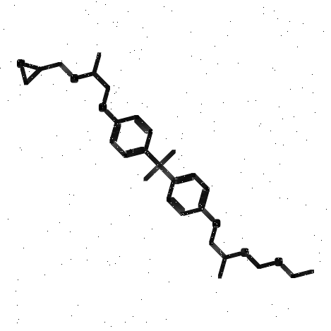 CCOCOC(C)COc1ccc(C(C)(C)c2ccc(OCC(C)OCC3CO3)cc2)cc1